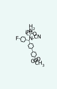 CC(C)C[C@@H](C(N)=O)N(CC#N)[C@H](c1ccc(F)cc1)c1ccc(-c2ccc(S(C)(=O)=O)cc2)cc1